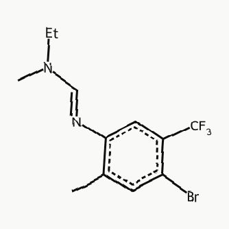 CCN(C)C=Nc1cc(C(F)(F)F)c(Br)cc1C